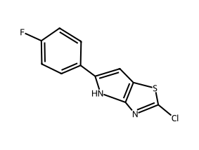 Fc1ccc(-c2cc3sc(Cl)nc3[nH]2)cc1